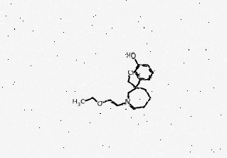 CCOCCN1CCCCC(CC)(c2cccc(O)c2)C1